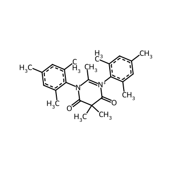 CC1=[N+](c2c(C)cc(C)cc2C)C(=O)C(C)(C)C(=O)N1c1c(C)cc(C)cc1C